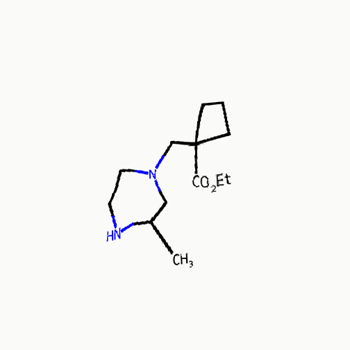 CCOC(=O)C1(CN2CCNC(C)C2)CCC1